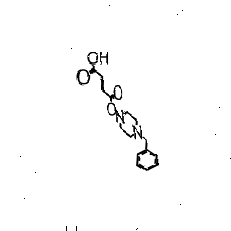 O=C(O)C=CC(=O)ON1CCN(Cc2ccccc2)CC1